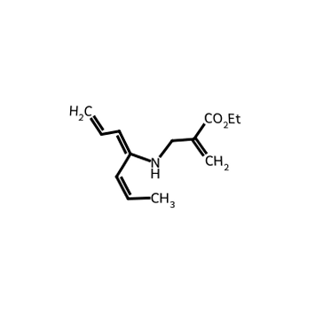 C=C/C=C(\C=C/C)NCC(=C)C(=O)OCC